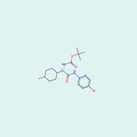 CC1CCC([C@H](NC(=O)OC(C)(C)C)C(=O)Nc2ccc(Br)cn2)CC1